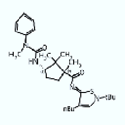 CCCCc1cn(C(C)(C)C)sc1=NC(=O)[C@]1(C)CC[C@H](NC(=O)N(C)c2ccccc2)C1(C)C